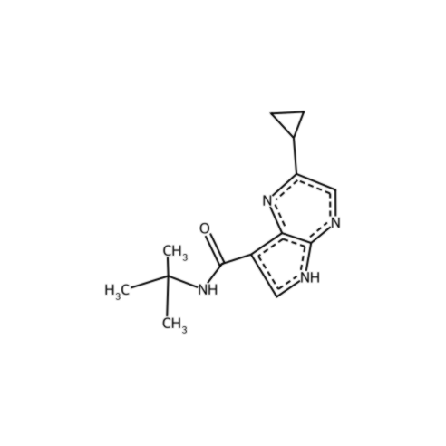 CC(C)(C)NC(=O)c1c[nH]c2ncc(C3CC3)nc12